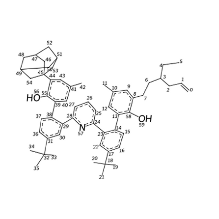 C=CCC(CC)CCc1cc(C)cc(-c2ccc(C(C)(C)C)cc2-c2cccc(-c3cc(C(C)(C)C)ccc3-c3cc(C)cc(C45CC6CC(CC(C6)C4)C5)c3O)n2)c1O